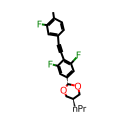 CCC[C@H]1CO[C@H](c2cc(F)c(C#Cc3ccc(C)c(F)c3)c(F)c2)OC1